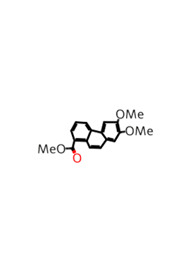 COC(=O)c1cccc2c1ccc1cc(OC)c(OC)cc12